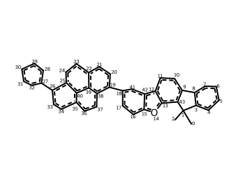 CC1(C)c2ccccc2-c2ccc3c(oc4ccc(-c5ccc6ccc7c(-c8ccccc8)ccc8ccc5c6c87)cc43)c21